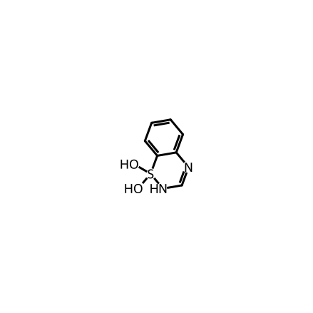 OS1(O)NC=Nc2ccccc21